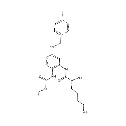 CCOC(=O)Nc1ccc(NCc2ccc(F)cc2)cc1NC(=O)C(N)CCCCN